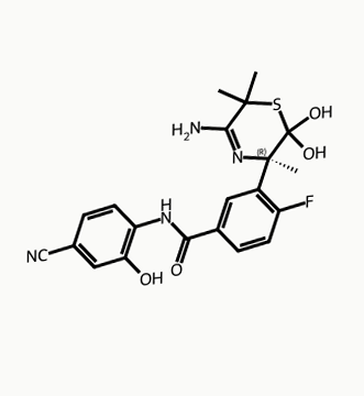 CC1(C)SC(O)(O)[C@@](C)(c2cc(C(=O)Nc3ccc(C#N)cc3O)ccc2F)N=C1N